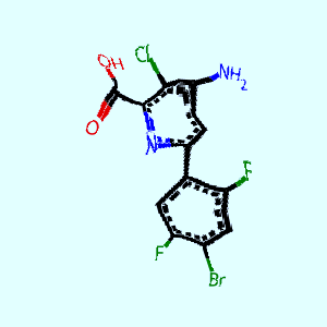 Nc1cc(-c2cc(F)c(Br)cc2F)nc(C(=O)O)c1Cl